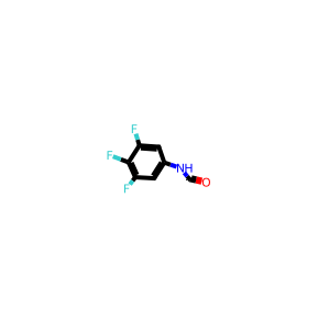 O=[C]Nc1cc(F)c(F)c(F)c1